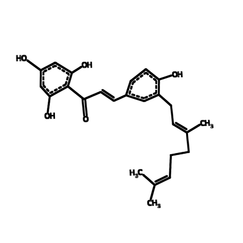 CC(C)=CCC/C(C)=C/Cc1cc(C=CC(=O)c2c(O)cc(O)cc2O)ccc1O